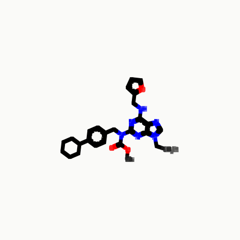 CCOC(=O)Cn1cnc2c(NCc3ccco3)nc(N(Cc3ccc(C4CCCCC4)cc3)C(=O)OC(C)(C)C)nc21